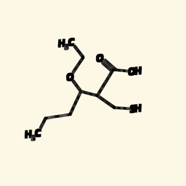 CCCC(OCC)C(CS)C(=O)O